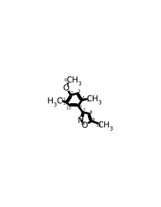 COc1cc(C)c(-c2cc(C)on2)cc1C